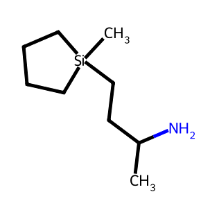 CC(N)CC[Si]1(C)CCCC1